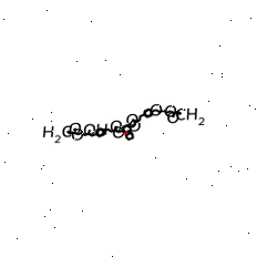 C=CC(=O)OCCCOc1ccc(CCC(=O)Oc2ccc(OC(=O)CCc3ccc(CC(O)CCOC(=O)C=C)cc3)c3c2C2CCC3C2)cc1